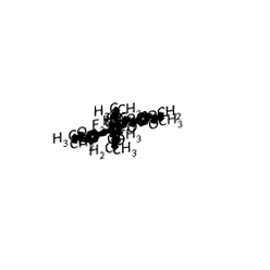 C=C(C)C(=O)Oc1ccc(C#Cc2c(OC(=O)C(=C)C)c(C)c(/C=C(\C)OC(=O)c3ccc(OC(=O)C(=C)C)cc3)c(OC(=O)C(=C)C)c2C(F)(F)F)cc1